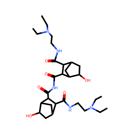 CCN(CC)CCNC(=O)C1C2CC(O)C(C2)C1C(=O)NC(=O)C1C2CC(CC2O)C1C(=O)NCCN(CC)CC